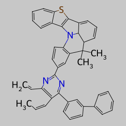 C=Cc1nc(-c2ccc3c(c2)C(C)(C)C2C=CC=C4c5sc6ccccc6c5N3C42)nc(-c2cccc(-c3ccccc3)c2)c1/C=C\C